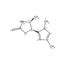 Cc1cn(C)c([C@H]2OC(=O)N[C@H]2C)n1